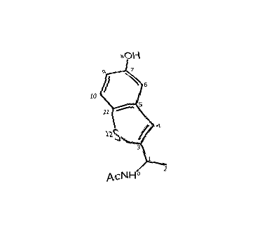 CC(=O)NC(C)c1cc2cc(O)ccc2s1